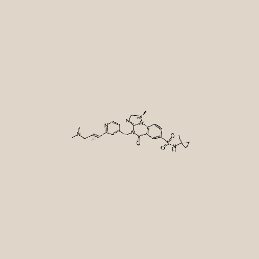 C[C@@H]1CN=C2N(Cc3ccnc(/C=C/CN(C)C)c3)C(=O)c3cc(S(=O)(=O)NC4(C)CC4)ccc3N21